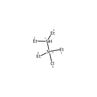 CC[SiH](CC)[Si](Cl)(CC)CC